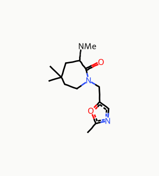 CNC1CC(C)(C)CCN(Cc2cnc(C)o2)C1=O